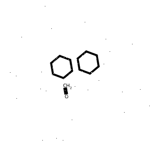 C1CCCCC1.C1CCCCC1.C=O